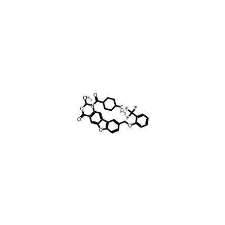 CC1CCC(C(=O)N2c3cc4c(cc3C(=O)OC2C)oc2ccc(COc3ccccc3C(F)(F)F)cc24)CC1